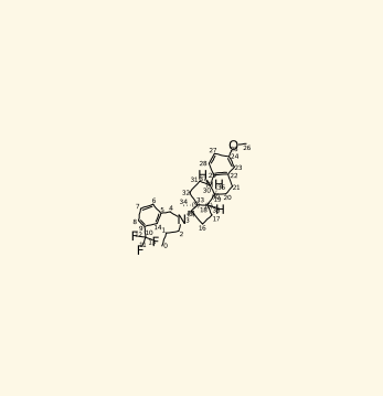 CCCN(Cc1cccc(C(F)(F)F)c1)[C@H]1CC[C@H]2[C@@H]3CCc4cc(OC)ccc4[C@H]3CC[C@]12C